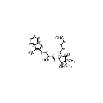 Cc1c(CCC(O)/C=C/[C@@H]2[C@@H](CCCCC=O)C(=O)C(C)(C)[C@H]2O)sc2ccccc12